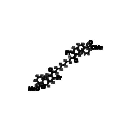 COC(=O)C1(C)CCCC2(C)c3cc(C(=O)CCCCCCCCC(=O)c4cc5c(cc4C(C)C)CCC4C(C)(C(=O)OC)CCCC54C)c(C(C)C)cc3CCC12